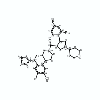 Cc1cc([C@H](C)n2cnnn2)c(C2CCN(C(=O)C3CN(C4CCOCC4)CC3c3ccc(F)cc3F)CC2)cc1Cl